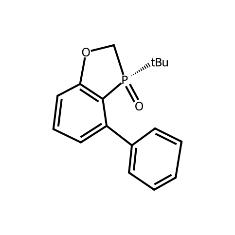 CC(C)(C)[P@@]1(=O)COc2cccc(-c3ccccc3)c21